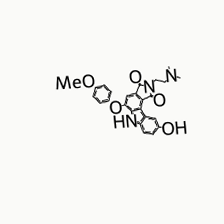 COc1ccc(Oc2cc3c(c4c2[nH]c2ccc(O)cc24)C(=O)N(CCN(C)C)C3=O)cc1